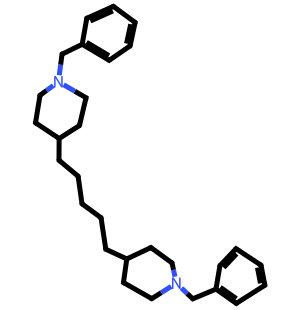 c1ccc(CN2CCC(CCCCCC3CCN(Cc4ccccc4)CC3)CC2)cc1